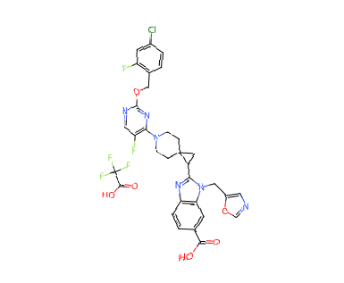 O=C(O)C(F)(F)F.O=C(O)c1ccc2nc(C3CC34CCN(c3nc(OCc5ccc(Cl)cc5F)ncc3F)CC4)n(Cc3cnco3)c2c1